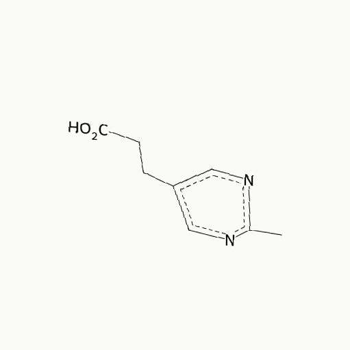 Cc1ncc(CCC(=O)O)cn1